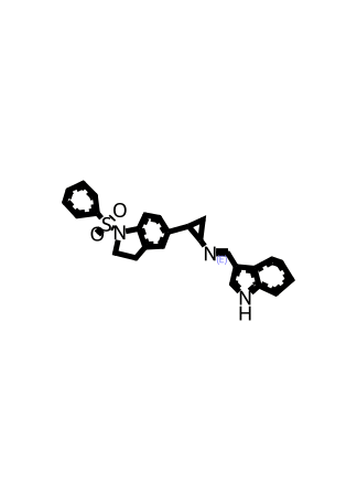 O=S(=O)(c1ccccc1)N1CCc2cc(C3CC3/N=C/c3c[nH]c4ccccc34)ccc21